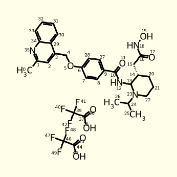 Cc1cc(COc2ccc(C(=O)NC3[C@H](CC(=O)NO)CCCN3C(C)C)cc2)c2ccccc2n1.O=C(O)C(F)(F)F.O=C(O)C(F)(F)F